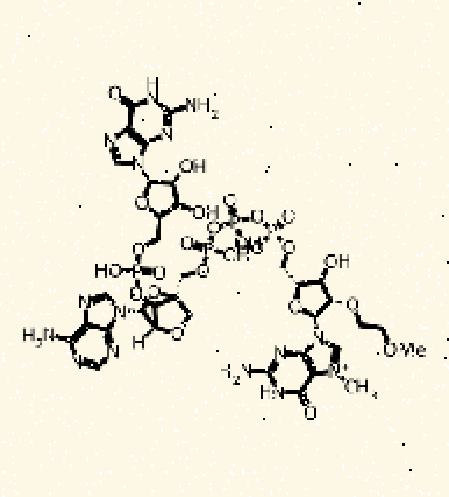 COCCO[C@H]1C(O)[C@@H](COP(=O)(O)OP(=O)(O)OP(=O)(O)OC[C@]23CO[C@@H](C2OP(=O)(O)OC[C@H]2O[C@@H](n4cnc5c(=O)[nH]c(N)nc54)[C@@H](O)C2O)[C@H](n2cnc4c(N)ncnc42)O3)O[C@H]1n1c[n+](C)c2c(=O)[nH]c(N)nc21